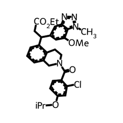 CCOC(=O)CC(c1cc(OC)c2c(c1)nnn2C)c1cccc2c1CCN(C(=O)c1ccc(OC(C)C)cc1Cl)C2